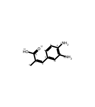 CC(=Cc1ccc(N)c(N)c1)C(=O)O